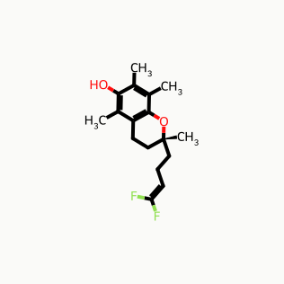 Cc1c(C)c2c(c(C)c1O)CC[C@@](C)(CCC=C(F)F)O2